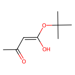 CC(=O)/C=C(\O)OC(C)(C)C